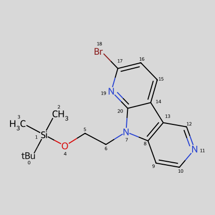 CC(C)(C)[Si](C)(C)OCCn1c2ccncc2c2ccc(Br)nc21